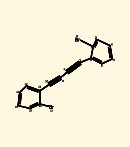 Brc1ccccc1C#CC#Cc1ccccc1Br